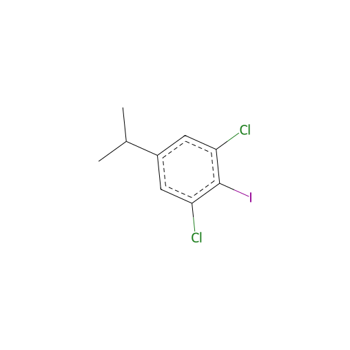 CC(C)c1cc(Cl)c(I)c(Cl)c1